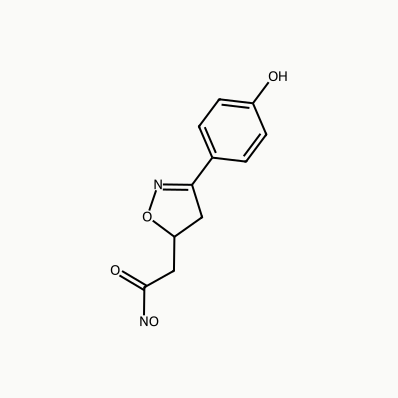 O=NC(=O)CC1CC(c2ccc(O)cc2)=NO1